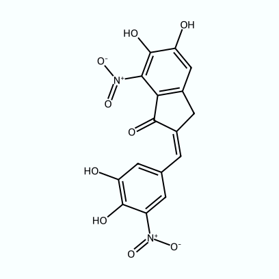 O=C1C(=Cc2cc(O)c(O)c([N+](=O)[O-])c2)Cc2cc(O)c(O)c([N+](=O)[O-])c21